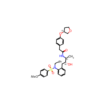 COc1ccc(S(=O)(=O)N(CC(C)C)c2ccccc2C[C@@H](O)[C@H](C)NC(=O)Cc2ccc(O[C@H]3CCOC3)cc2)cc1